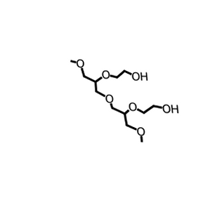 COCC(COCC(COC)OCCO)OCCO